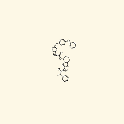 CC(C(=O)Nc1nc2c(s1)CCCC2OC(=O)NC1CCN(Cc2ccc(Oc3ccccc3)cc2)C1)c1ccccc1